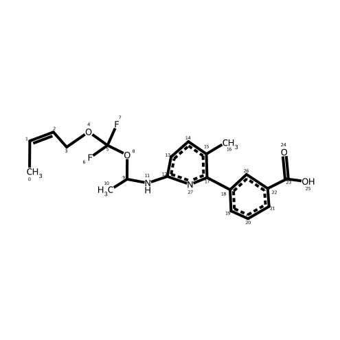 C/C=C\COC(F)(F)OC(C)Nc1ccc(C)c(-c2cccc(C(=O)O)c2)n1